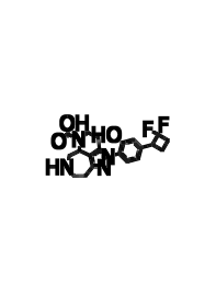 O=C(O)N1CCc2c3c(nn2-c2ccc(C4CCC4(F)F)cc2O)CCNCC31